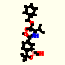 CC(C)C(NC(=O)c1ccc2c(c1)B(O)OC2(C)C)C(=O)OCc1ccccc1